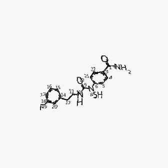 NC(=O)c1ccc(N(S)C(=O)NCCc2cccc(F)c2)cc1